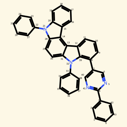 c1ccc(-c2ncc(-c3cccc4c5c6c7ccccc7n(-c7ccccc7)c6ccc5n(-c5ccccc5)c34)cn2)cc1